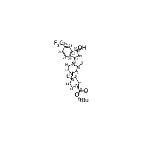 C[C@H]1CN(C2(C)CCN(C(=O)OC(C)(C)C)CC2)CCN1C1C[C@H](O)c2cc(C(F)(F)F)ccc21